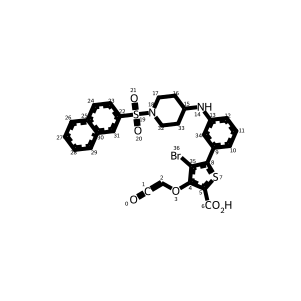 O=C=COc1c(C(=O)O)sc(-c2cccc(NC3CCN(S(=O)(=O)c4ccc5ccccc5c4)CC3)c2)c1Br